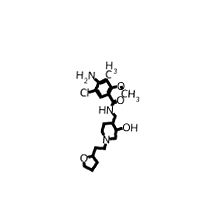 COc1c(C(=O)NCC2CCN(CCC3CCCO3)CC2O)cc(Cl)c(N)c1C